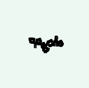 O=C(C1CCCN1)N1CCN(c2nc(-c3ccnc(NC4CCOCC4)c3)cc3cnccc23)CC1